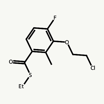 CCSC(=O)c1ccc(F)c(OCCCl)c1C